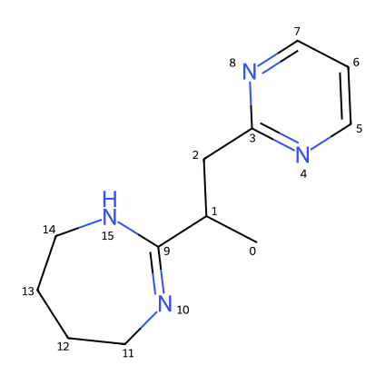 CC(Cc1ncccn1)C1=NCCCCN1